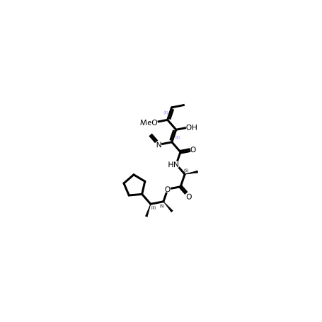 C=N/C(C(=O)N[C@@H](C)C(=O)O[C@@H](C)[C@@H](C)C1CCCC1)=C(O)\C(=C/C)OC